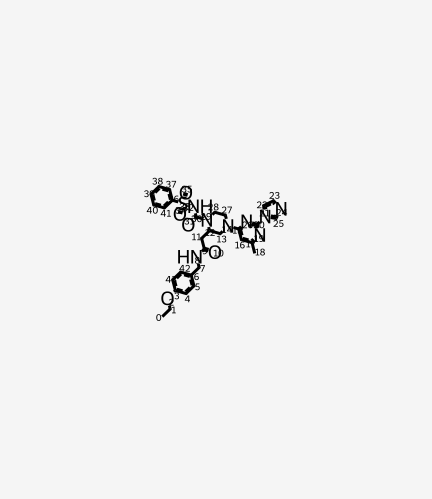 CCOc1ccc(CNC(=O)CC2CN(c3cc(C)nc(-n4ccnc4)n3)CCN2C(=O)NS(=O)(=O)c2ccccc2)cc1